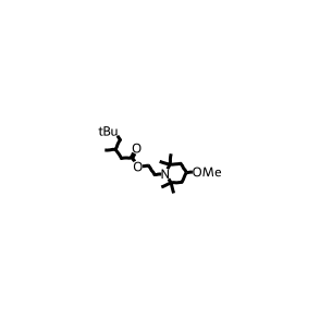 COC1CC(C)(C)N(CCOC(=O)CC(C)CC(C)(C)C)C(C)(C)C1